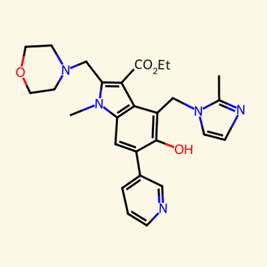 CCOC(=O)c1c(CN2CCOCC2)n(C)c2cc(-c3cccnc3)c(O)c(Cn3ccnc3C)c12